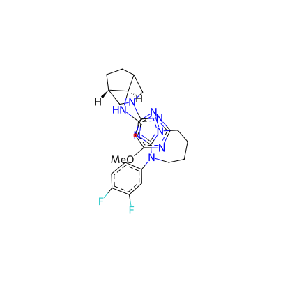 COc1cc(N2CC3CC[C@@H](C2)[C@@H]3Nc2nc3n(n2)CCCCN3c2ccc(F)c(F)c2)ncn1